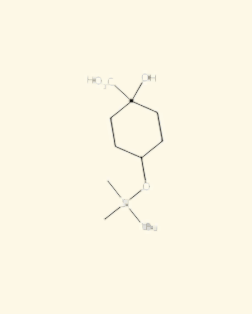 CC(C)(C)[Si](C)(C)OC1CCC(O)(C(=O)O)CC1